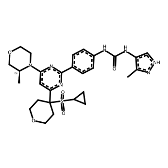 Cc1n[nH]cc1NC(=O)Nc1ccc(-c2nc(N3CCOC[C@@H]3C)cc(C3(S(=O)(=O)C4CC4)CCOCC3)n2)cc1